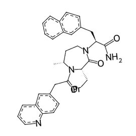 CC(C)C[C@H]1C(=O)N([C@@H](Cc2ccc3ccccc3c2)C(N)=O)CC[C@@H](C)N1C(=O)Cc1ccc2ncccc2c1